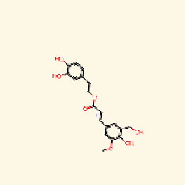 COc1cc(/C=C/C(=O)OCCc2ccc(O)c(O)c2)cc(CO)c1O